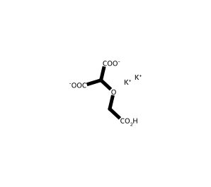 O=C(O)COC(C(=O)[O-])C(=O)[O-].[K+].[K+]